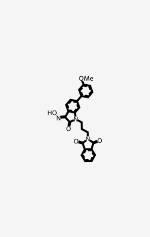 COc1cccc(-c2ccc3c(c2)N(CCCN2C(=O)c4ccccc4C2=O)C(=O)/C3=N/O)c1